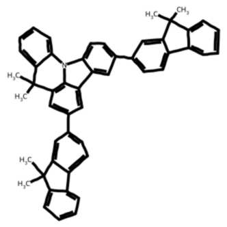 CC1(C)c2ccccc2-c2ccc(-c3ccc4c(c3)c3cc(-c5ccc6c(c5)C(C)(C)c5ccccc5-6)cc5c3n4-c3ccccc3C5(C)C)cc21